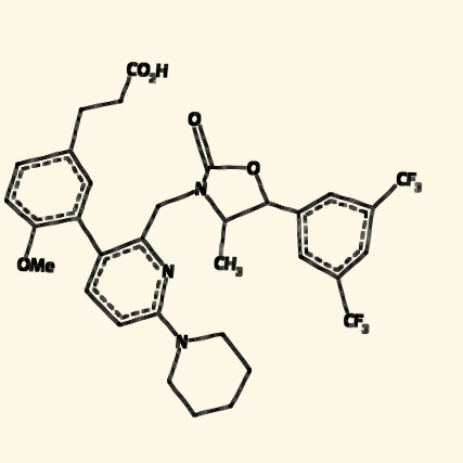 COc1ccc(CCC(=O)O)cc1-c1ccc(N2CCCCC2)nc1CN1C(=O)OC(c2cc(C(F)(F)F)cc(C(F)(F)F)c2)C1C